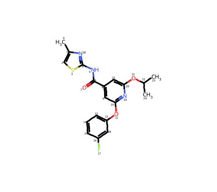 Cc1csc(NC(=O)c2cc(Oc3cccc(F)c3)nc(OC(C)C)c2)n1